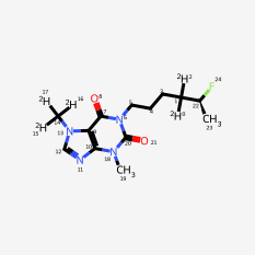 [2H]C([2H])(CCCn1c(=O)c2c(ncn2C([2H])([2H])[2H])n(C)c1=O)[C@H](C)F